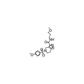 COCCCNC(=O)c1noc2c1CN(S(=O)(=O)c1ccc(OC)cc1)CC2